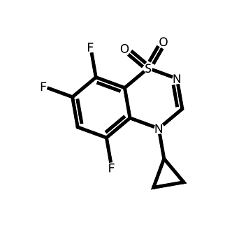 O=S1(=O)N=CN(C2CC2)c2c(F)cc(F)c(F)c21